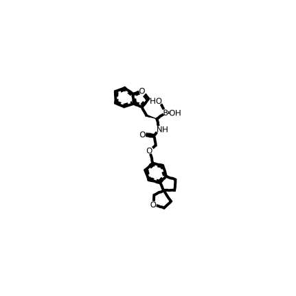 O=C(COc1ccc2c(c1)CCC21CCOC1)N[C@@H](Cc1coc2ccccc12)B(O)O